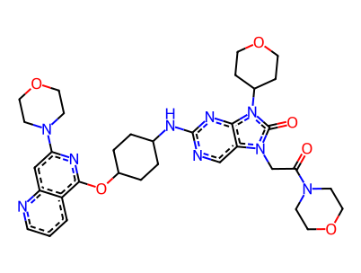 O=C(Cn1c(=O)n(C2CCOCC2)c2nc(NC3CCC(Oc4nc(N5CCOCC5)cc5ncccc45)CC3)ncc21)N1CCOCC1